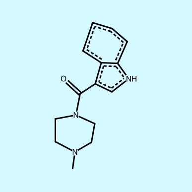 CN1CCN(C(=O)c2c[nH]c3ccccc23)CC1